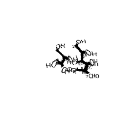 O=C(O)C(O)C(O)CO.O=CC(O)C(O)C(O)C(O)CO